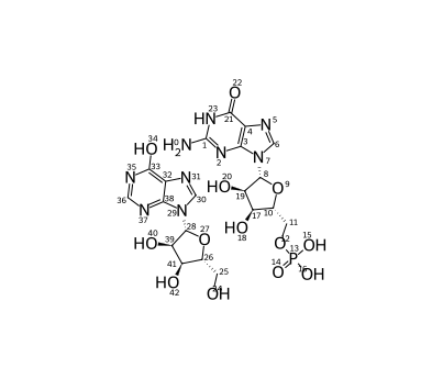 Nc1nc2c(ncn2[C@@H]2O[C@H](COP(=O)(O)O)[C@@H](O)[C@H]2O)c(=O)[nH]1.OC[C@H]1O[C@@H](n2cnc3c(O)ncnc32)[C@H](O)[C@@H]1O